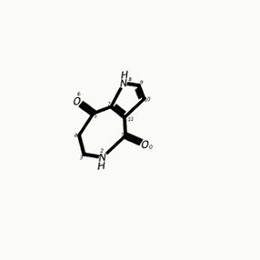 O=C1NCCC(=O)c2[nH]ccc21